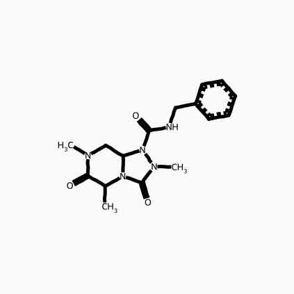 CC1C(=O)N(C)CC2N1C(=O)N(C)N2C(=O)NCc1ccccc1